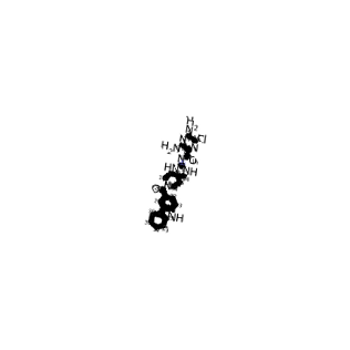 NC1=NC(N)C(Cl)N=C1C(=O)/N=C1\NCC2(CCN(C(=O)c3ccc4[nH]c5c(c4c3)CCCC5)CC2)N1